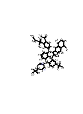 C/C=C(\C=C/C(I)C(C)(C)C)N1c2ccc(C(C)(C)C)cc2B2c3oc4cc5c(cc4c3N(c3ccc(C(C)C)c(C(C)(C)CC)c3)c3cccc1c32)[C@H](C)CCC5C